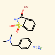 Br.CN(C)Cc1ccccc1.Cl.N.N.O=C1NS(=O)(=O)c2ccccc21